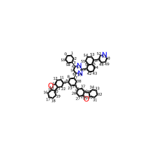 c1ccc(-c2cc(-c3cc(-c4ccc5oc6ccccc6c5c4)cc(-c4ccc5oc6ccccc6c5c4)c3)nc(-c3cccc4c(-c5cccnc5)cccc34)n2)cc1